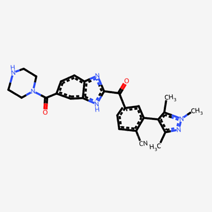 Cc1nn(C)c(C)c1-c1cc(C(=O)c2nc3ccc(C(=O)N4CCNCC4)cc3[nH]2)ccc1C#N